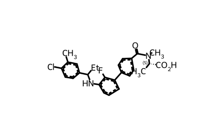 CCC(Nc1cccc(-c2ccc(C(=O)N(C)[C@@H](C)C(=O)O)cc2)c1F)c1ccc(Cl)c(C)c1